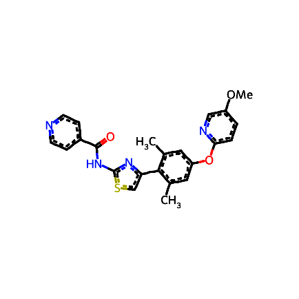 COc1ccc(Oc2cc(C)c(-c3csc(NC(=O)c4ccncc4)n3)c(C)c2)nc1